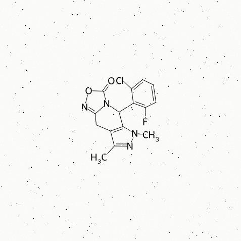 Cc1nn(C)c2c1Cc1noc(=O)n1C2c1c(F)cccc1Cl